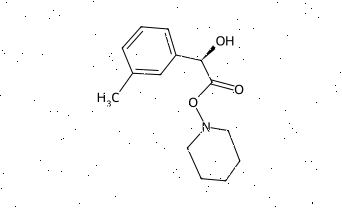 Cc1cccc([C@@H](O)C(=O)ON2CCCCC2)c1